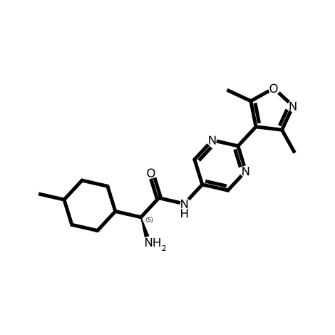 Cc1noc(C)c1-c1ncc(NC(=O)[C@@H](N)C2CCC(C)CC2)cn1